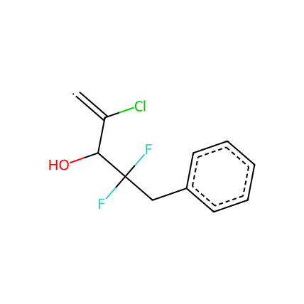 [CH]=C(Cl)C(O)C(F)(F)Cc1ccccc1